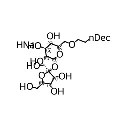 CCCCCCCCCCCCOC[C@H]1O[C@H](O[C@]2(CO)O[C@H](CO)[C@@H](O)[C@@H]2O)[C@H](O)[C@@H](O)[C@@H]1O.[NaH]